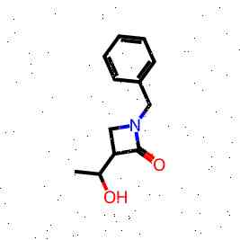 CC(O)C1CN(Cc2ccccc2)C1=O